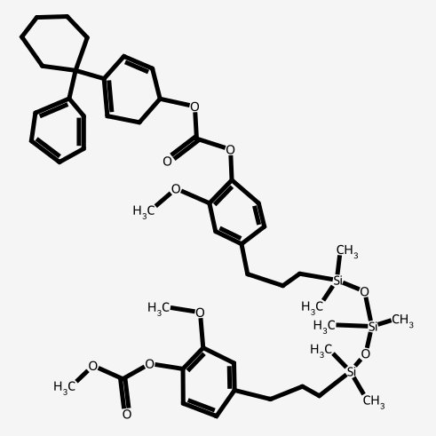 COC(=O)Oc1ccc(CCC[Si](C)(C)O[Si](C)(C)O[Si](C)(C)CCCc2ccc(OC(=O)OC3C=CC(C4(c5ccccc5)CCCCC4)=CC3)c(OC)c2)cc1OC